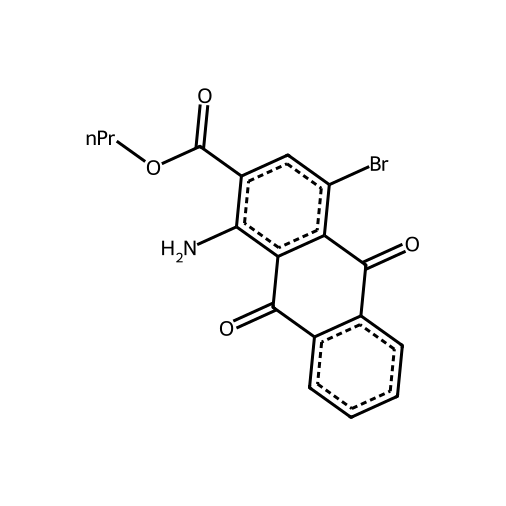 CCCOC(=O)c1cc(Br)c2c(c1N)C(=O)c1ccccc1C2=O